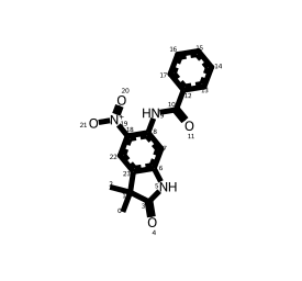 CC1(C)C(=O)Nc2cc(NC(=O)c3ccccc3)c([N+](=O)[O-])cc21